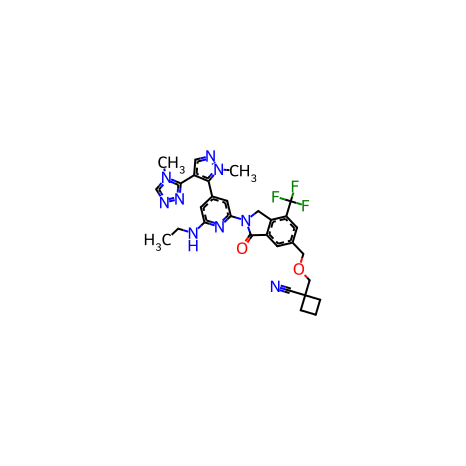 CCNc1cc(-c2c(-c3nncn3C)cnn2C)cc(N2Cc3c(cc(COCC4(C#N)CCC4)cc3C(F)(F)F)C2=O)n1